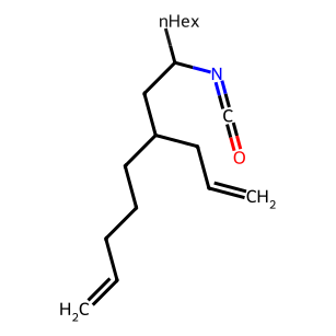 C=CCCCC(CC=C)CC(CCCCCC)N=C=O